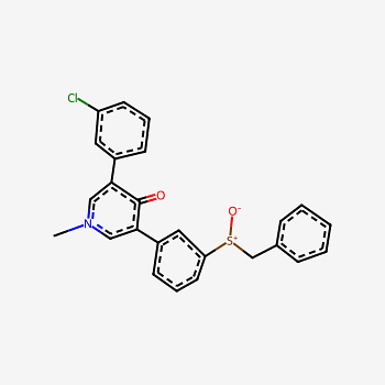 Cn1cc(-c2cccc(Cl)c2)c(=O)c(-c2cccc([S+]([O-])Cc3ccccc3)c2)c1